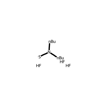 CCCCN([S])CCCC.F.F.F